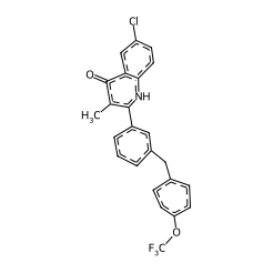 Cc1c(-c2cccc(Cc3ccc(OC(F)(F)F)cc3)c2)[nH]c2ccc(Cl)cc2c1=O